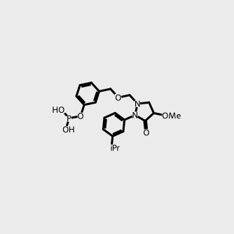 COC1CN(COCc2cccc(OP(O)O)c2)N(c2cccc(C(C)C)c2)C1=O